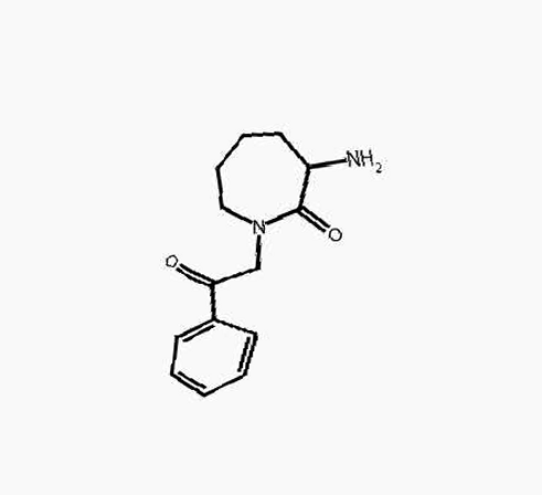 NC1CCCCN(CC(=O)c2ccccc2)C1=O